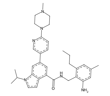 CCCc1cc(C)cc(N)c1CNC(=O)c1cc(-c2ccc(N3CCN(C)CC3)nc2)cc2c1ccn2C(C)C